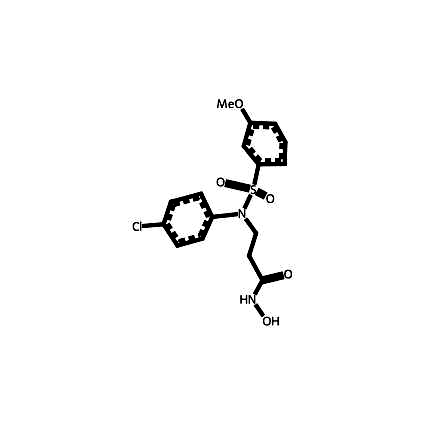 COc1cccc(S(=O)(=O)N(CCC(=O)NO)c2ccc(Cl)cc2)c1